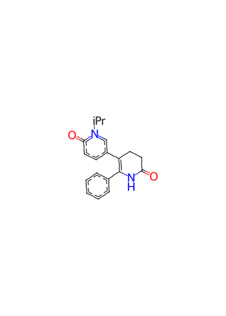 CC(C)n1cc(C2=C(c3ccccc3)NC(=O)CC2)ccc1=O